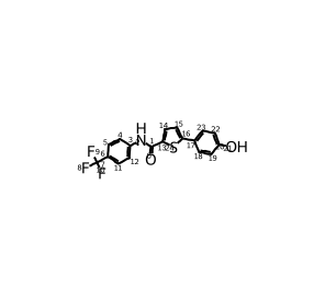 O=C(Nc1ccc(C(F)(F)F)cc1)c1ccc(-c2ccc(O)cc2)s1